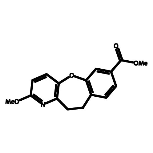 COC(=O)c1ccc2c(c1)Oc1ccc(OC)nc1CC2